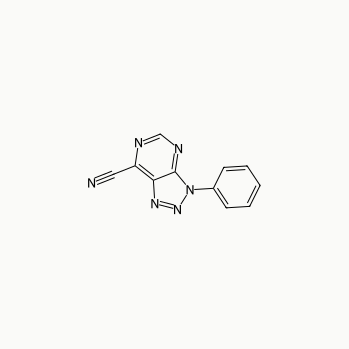 N#Cc1ncnc2c1nnn2-c1ccccc1